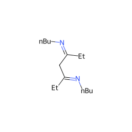 CCCCN=C(CC)CC(CC)=NCCCC